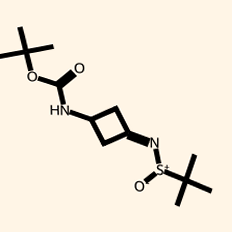 CC(C)(C)OC(=O)NC1CC(=N[S+]([O-])C(C)(C)C)C1